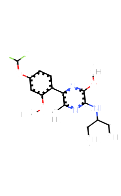 CCC(CC)Nc1nc(C)c(-c2ccc(OC(F)F)cc2OC)nc1OC